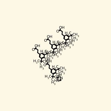 CC(C)(C)c1cc(CCC(=O)O)cc(C(C)(C)C)c1O.CC(C)(C)c1cc(CCC(=O)O)cc(C(C)(C)C)c1O.CC(C)(C)c1cc(CCC(=O)O)cc(C(C)(C)C)c1O.CC(C)(C)c1cc(CCC(=O)O)cc(C(C)(C)C)c1O.c1nnn[nH]1